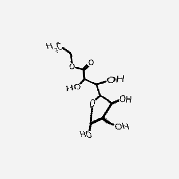 CCOC(=O)C(O)C(O)C1OC(O)C(O)C1O